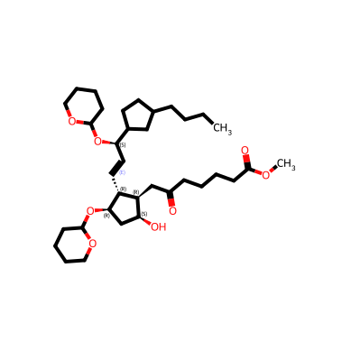 CCCCC1CCC([C@@H](/C=C/[C@@H]2[C@@H](CC(=O)CCCCC(=O)OC)[C@@H](O)C[C@H]2OC2CCCCO2)OC2CCCCO2)C1